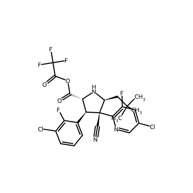 CC(C)(C)C[C@@H]1N[C@@H](C(=O)OC(=O)C(F)(F)F)[C@H](c2cccc(Cl)c2F)[C@@]1(C#N)c1ncc(Cl)cc1F